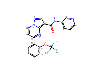 O=C(Nc1cccnc1)c1cnn2ccc(-c3ccccc3OC(F)(F)F)nc12